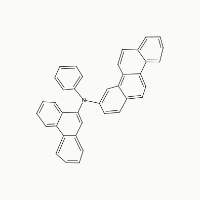 c1ccc(N(c2ccc3ccc4c5ccccc5ccc4c3c2)c2cc3ccccc3c3ccccc23)cc1